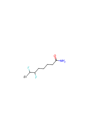 CCC(F)C(F)CCCCC(N)=O